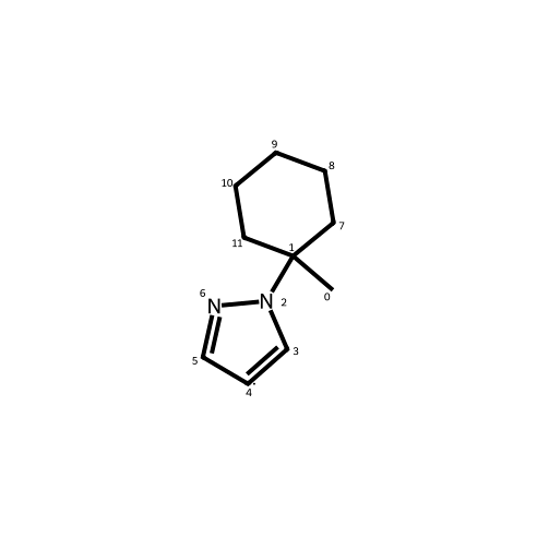 CC1(n2c[c]cn2)CCCCC1